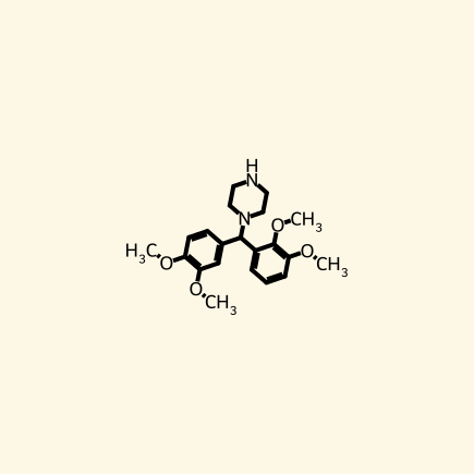 COc1ccc(C(c2cccc(OC)c2OC)N2CCNCC2)cc1OC